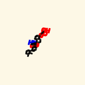 Cc1cccc(-c2cccc(S(=O)(=O)NC3CCCc4c(OCC(=O)O)cccc43)c2)c1C